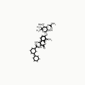 CO[C@@H]1[C@@H](OC(N)=O)[C@@H](O)[C@H](Oc2ccc3c(O)c(NC(=O)C4CCCC(C5CCCCC5)C4)c(=O)oc3c2C)OC1(C)C